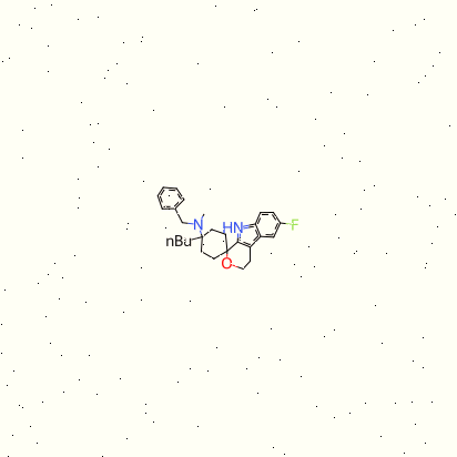 CCCCC1(N(C)Cc2ccccc2)CCC2(CC1)OCCc1c2[nH]c2ccc(F)cc12